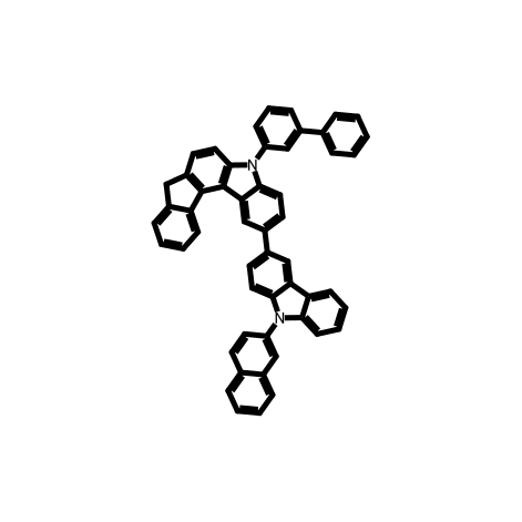 c1ccc(-c2cccc(-n3c4ccc(-c5ccc6c(c5)c5ccccc5n6-c5ccc6ccccc6c5)cc4c4c5c(ccc43)Cc3ccccc3-5)c2)cc1